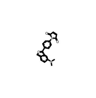 CN(C)c1ccc2coc(-c3ccc(N4C(=O)C=CC4=O)cc3)c2c1